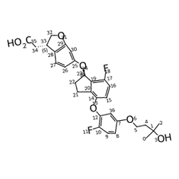 CC(C)(O)CCOc1ccc(F)c(Oc2ccc(F)c3c2CC[C@H]3Oc2ccc3c(c2)OC[C@H]3CC(=O)O)c1